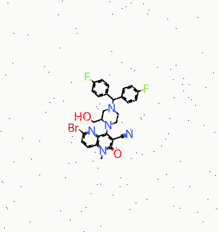 Cn1c(=O)c(C#N)c(N2CCN(C(c3ccc(F)cc3)c3ccc(F)cc3)CC2CO)c2nc(Br)ccc21